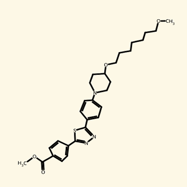 COCCCCCCCOC1CCN(c2ccc(-c3nnc(-c4ccc(C(=O)OC)cc4)s3)cc2)CC1